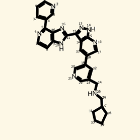 c1cncc(-c2nccc3[nH]c(-c4n[nH]c5ncc(-c6cncc(CNCC7CCCC7)c6)cc45)nc23)c1